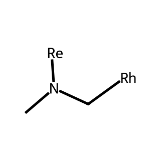 C[N]([Re])[CH2][Rh]